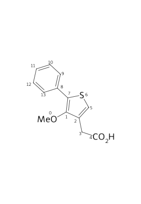 COc1c(CC(=O)O)csc1-c1ccccc1